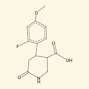 COc1ccc(C2CC(=O)NCC2C(=O)O)c(F)c1